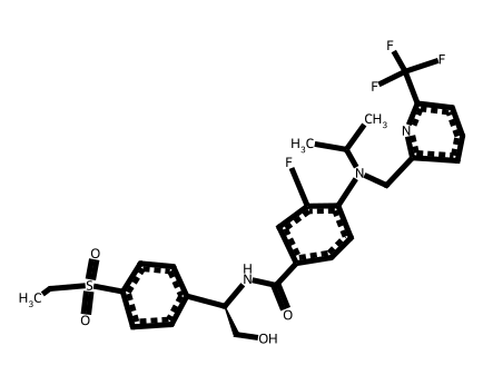 CCS(=O)(=O)c1ccc([C@H](CO)NC(=O)c2ccc(N(Cc3cccc(C(F)(F)F)n3)C(C)C)c(F)c2)cc1